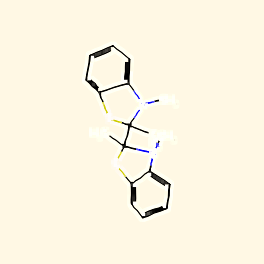 CN1c2ccccc2SC1(C)C1(C)Sc2ccccc2N1C